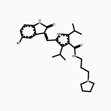 CC(C)c1[nH]c(/C=C2\C(=O)Nc3ccc(Br)cc32)c(C(C)C)c1C(=O)NCCCN1CCCC1